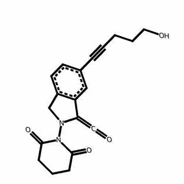 O=C=C1c2cc(C#CCCCO)ccc2CN1N1C(=O)CCCC1=O